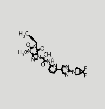 CC#CCn1c(=O)c2c(ncn2[C@@H](C)C(=O)Nc2cccc(-c3cnc(N4CC5C(C4)C5(F)F)nc3)n2)n(C)c1=O